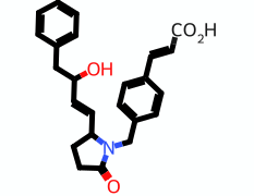 O=C(O)/C=C/c1ccc(CN2C(=O)CCC2/C=C/C(O)Cc2ccccc2)cc1